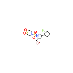 O=S1(=O)CCN(S(=O)(=O)N2CC(c3ccccc3F)CC2CBr)CC1